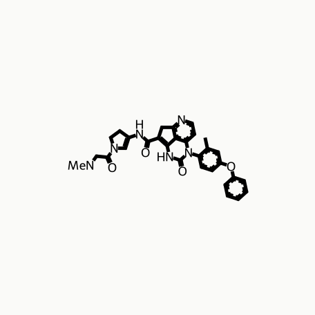 CNCC(=O)N1C=C(NC(=O)C2=C3NC(=O)N(c4ccc(Oc5ccccc5)cc4C)c4ccnc(c43)C2)CC1